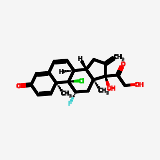 C=C1C[C@H]2[C@@H]3C=CC4=CC(=O)C=C[C@]4(C)[C@@]3(Cl)[C@@H](F)C[C@]2(C)[C@@]1(O)C(=O)CO